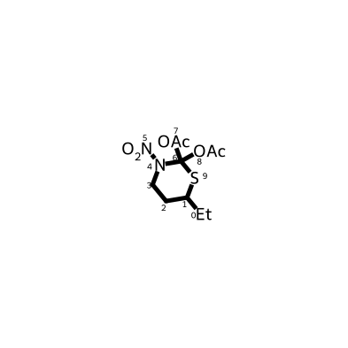 CCC1CCN([N+](=O)[O-])C(OC(C)=O)(OC(C)=O)S1